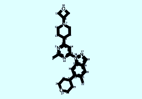 Cc1nc(C2CCN(C3COC3)CC2)cc(-n2ncc3cc(C)c(C4CCOCC4)cc32)n1